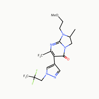 COCCN1c2nc(C(F)(F)F)c(-c3cnn(CC(F)(F)C(F)(F)F)c3)c(=O)n2CC1C